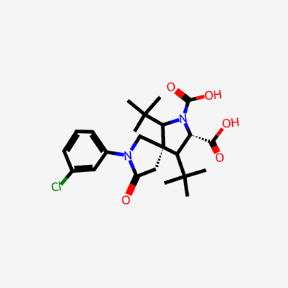 CC(C)(C)C1[C@@H](C(=O)O)N(C(=O)O)C(C(C)(C)C)[C@@]12CC(=O)N(c1cccc(Cl)c1)C2